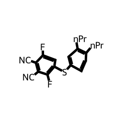 CCCc1ccc(Sc2cc(F)c(C#N)c(C#N)c2F)cc1CCC